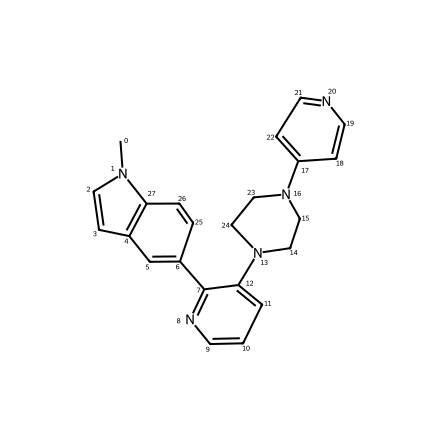 Cn1ccc2cc(-c3ncccc3N3CCN(c4ccncc4)CC3)ccc21